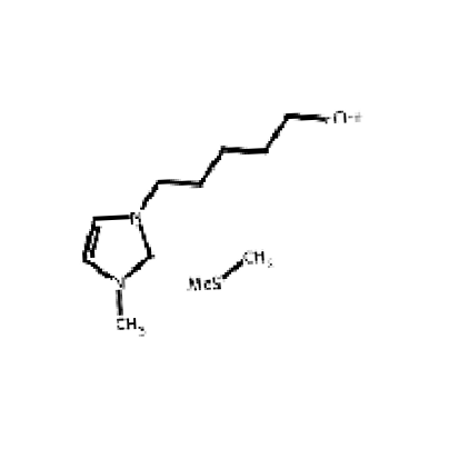 CCCCCCCCCCCCCN1C=CN(C)C1.CSC